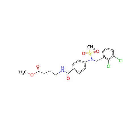 COC(=O)CCCNC(=O)c1ccc(N(Cc2cccc(Cl)c2Cl)S(C)(=O)=O)cc1